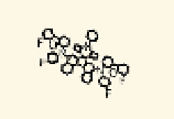 Fc1ccc(N(c2cc3c(c4ccccc24)-c2c(cc(N(c4ccc(F)cc4)c4cccc5c4oc4c(F)cccc45)c4ccccc24)C32c3ccccc3N(c3ccccc3)c3ccccc32)c2cccc3c2oc2c(F)cccc23)cc1